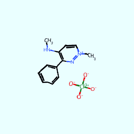 CNc1cc[n+](C)nc1-c1ccccc1.[O-][Cl+3]([O-])([O-])[O-]